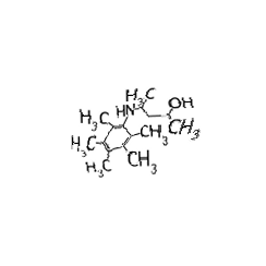 Cc1c(C)c(C)c(NC(C)CC(C)O)c(C)c1C